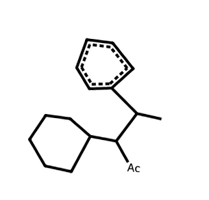 CC(=O)C(C1CCCCC1)C(C)c1ccccc1